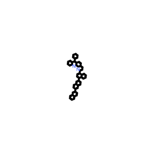 c1ccc(-c2c3ccccc3nc3c2ccc2ccc(-c4ccc(-c5ccc6cc(-c7ccc8ccccc8c7)ccc6c5)c5ccccc45)nc23)cc1